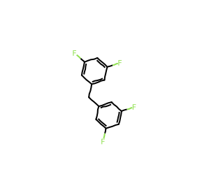 Fc1cc(F)cc(Cc2cc(F)cc(F)c2)c1